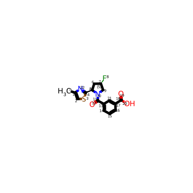 Cc1csc([C@H]2C[C@H](F)CN2C(=O)c2cccc(C(=O)O)c2)n1